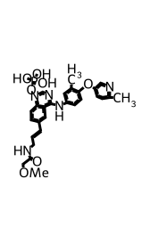 COCC(=O)NCC=Cc1ccc2ncnc(Nc3ccc(Oc4ccc(C)nc4)c(C)c3)c2c1.O=P(O)(O)O